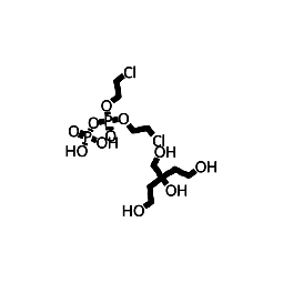 O=P(O)(O)OP(=O)(OCCCl)OCCCl.OCCC(O)(CO)CCO